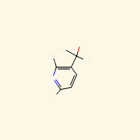 CC(C)(O)c1ccc(C(F)(F)F)nc1C#N